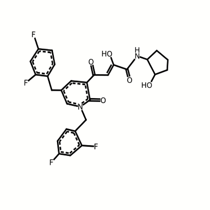 O=C(NC1CCCC1O)C(O)=CC(=O)c1cc(Cc2ccc(F)cc2F)cn(Cc2ccc(F)cc2F)c1=O